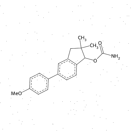 COc1ccc(-c2ccc3c(c2)CC(C)(C)C3OC(N)=O)cc1